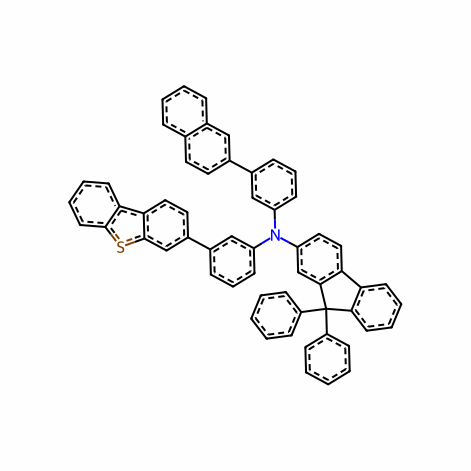 c1ccc(C2(c3ccccc3)c3ccccc3-c3ccc(N(c4cccc(-c5ccc6ccccc6c5)c4)c4cccc(-c5ccc6c(c5)sc5ccccc56)c4)cc32)cc1